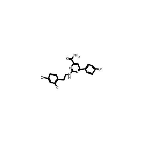 NC(=O)c1cc(-c2ccc(Br)cc2)nc(NCCc2ccc(Cl)cc2Cl)n1